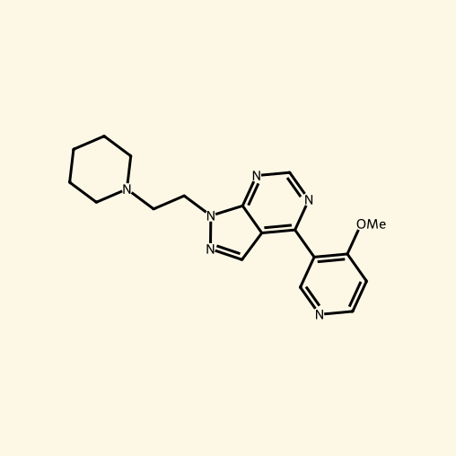 COc1ccncc1-c1ncnc2c1cnn2CCN1CCCCC1